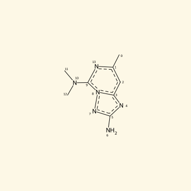 Cc1cc2nc(N)nn2c(N(C)C)n1